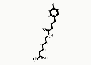 Cc1ccc(CCCC(=O)NCCCCCC(N)S)cc1